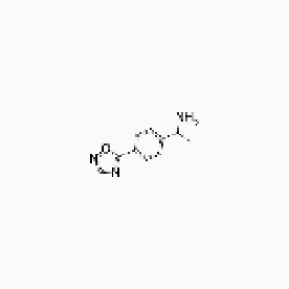 CC(N)c1ccc(-c2ncno2)cc1